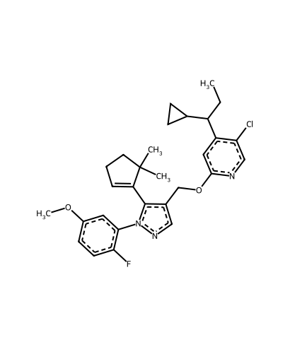 CCC(c1cc(OCc2cnn(-c3cc(OC)ccc3F)c2C2=CCCC2(C)C)ncc1Cl)C1CC1